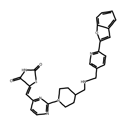 O=C1NC(=O)C(=Cc2ccnc(N3CCC(CNCc4ccc(-c5cc6ccccc6o5)nc4)CC3)n2)S1